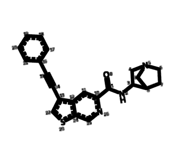 O=C(NC1CN2CCC1C2)c1cc2c(C#Cc3ccccc3)csc2cn1